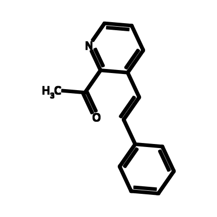 CC(=O)c1ncccc1C=Cc1ccccc1